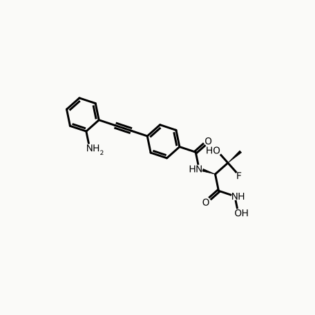 C[C@@](O)(F)[C@H](NC(=O)c1ccc(C#Cc2ccccc2N)cc1)C(=O)NO